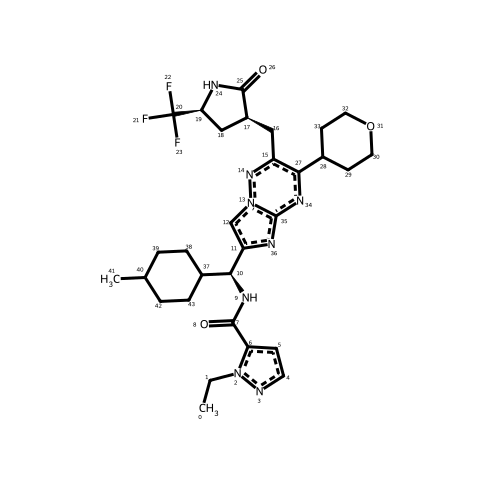 CCn1nccc1C(=O)N[C@H](c1cn2nc(C[C@H]3C[C@@H](C(F)(F)F)NC3=O)c(C3CCOCC3)nc2n1)C1CCC(C)CC1